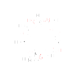 CC[C@H]1OC(=O)[C@H](C)[C@@H](O)[C@H](C)[C@@H](OC)[C@](C)(OC)C[C@@H](C)C(=O)[C@H](C)[C@@H](O)[C@]1(C)O